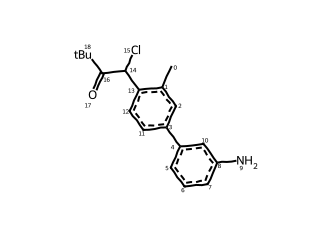 Cc1cc(-c2cccc(N)c2)ccc1C(Cl)C(=O)C(C)(C)C